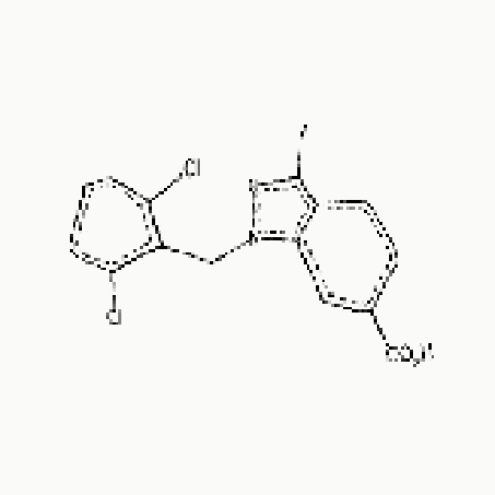 Cc1nn(Cc2c(Cl)cccc2Cl)c2cc(C(=O)O)ccc12